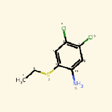 CCSc1cc(Cl)c(Cl)cc1N